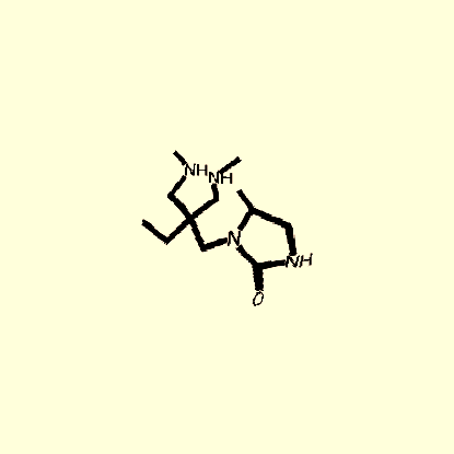 CCC(CNC)(CNC)CN1C(=O)NCC1C